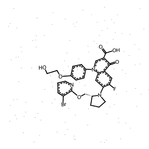 O=C(O)c1cn(-c2ccc(OCCO)cc2)c2cc(N3CCC[C@@H]3COc3ncccc3Br)c(F)cc2c1=O